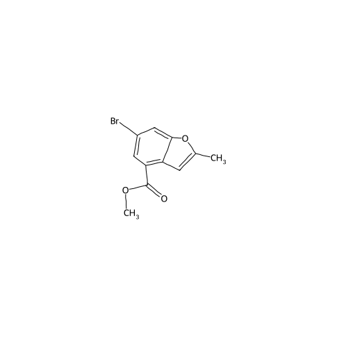 COC(=O)c1cc(Br)cc2oc(C)cc12